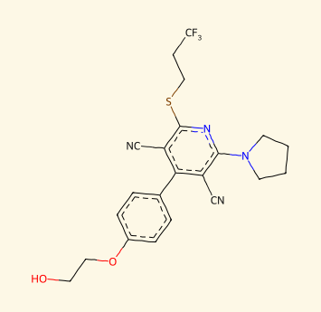 N#Cc1c(SCCC(F)(F)F)nc(N2CCCC2)c(C#N)c1-c1ccc(OCCO)cc1